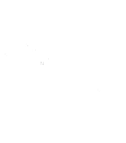 CSc1ccc(-c2cc3cnc(OCCCCCCCCCCCCOC(C)(C)C(C)CC(C)(C)C)cc3oc2=O)cc1